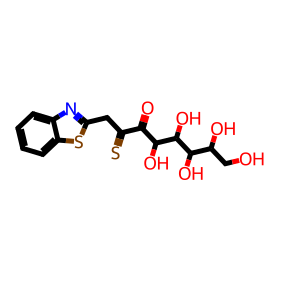 O=C(C(=S)Cc1nc2ccccc2s1)C(O)C(O)C(O)C(O)CO